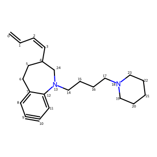 C=C/C=C\C1CCc2cc#ccc2N(CCCCN2CCCCC2)C1